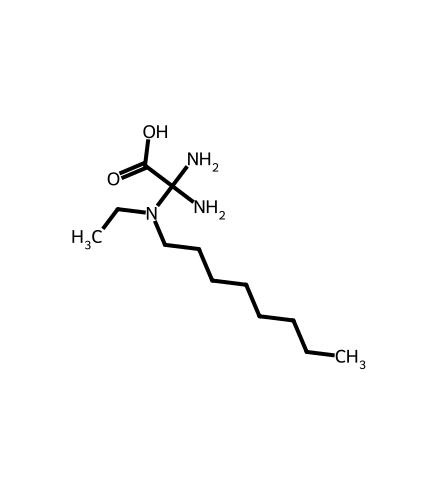 CCCCCCCCN(CC)C(N)(N)C(=O)O